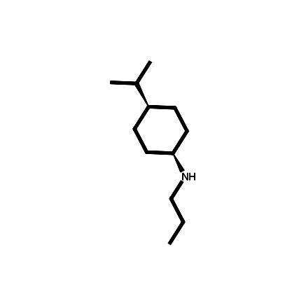 CCCN[C@H]1CC[C@@H](C(C)C)CC1